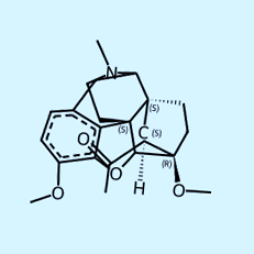 COc1ccc2c3c1OC1[C@@]4(OC)CC[C@@]5(C[C@@H]4C(C)=O)C(C2)N(C)CC[C@]315